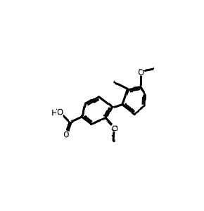 COc1cc(C(=O)O)ccc1-c1cccc(OC)c1C